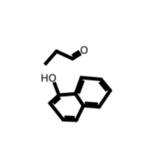 CCC=O.Oc1cccc2ccccc12